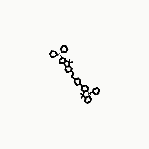 CC1(C)c2cc(/C=C/c3ccc(-c4ccc5c(c4)C(C)(C)c4ccccc4N5c4ccccc4)cc3)ccc2-c2ccc(N(c3ccccc3)c3ccccc3)cc21